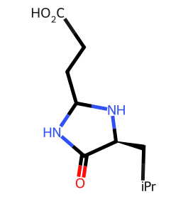 CC(C)C[C@@H]1NC(CCC(=O)O)NC1=O